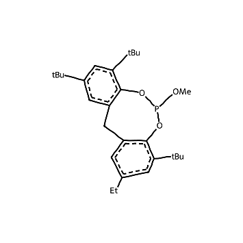 CCc1cc2c(c(C(C)(C)C)c1)OP(OC)Oc1c(cc(C(C)(C)C)cc1C(C)(C)C)C2